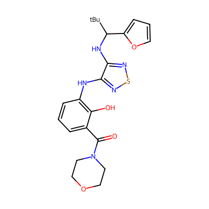 CC(C)(C)C(Nc1nsnc1Nc1cccc(C(=O)N2CCOCC2)c1O)c1ccco1